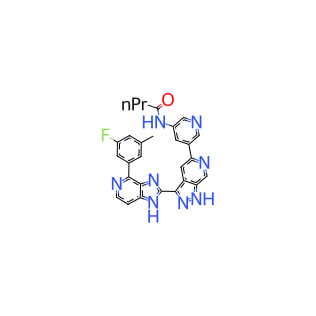 CCCC(=O)Nc1cncc(-c2cc3c(-c4nc5c(-c6cc(C)cc(F)c6)nccc5[nH]4)n[nH]c3cn2)c1